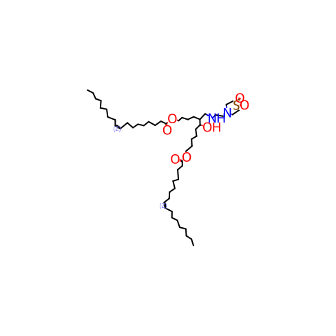 CCCCCCCC/C=C\CCCCCCCC(=O)OCCCCCC(O)C(CCCCOC(=O)CCCCCCC/C=C\CCCCCCCC)CNCCN1CCS(=O)(=O)CC1